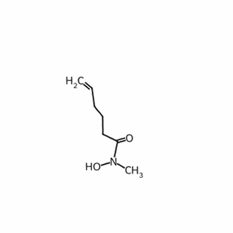 C=CCCCC(=O)N(C)O